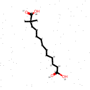 CC(C)(CCCCCCCCCCC(=O)O)C(=O)O